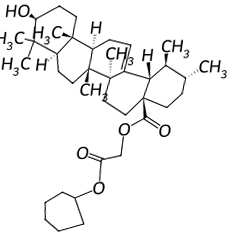 C[C@H]1[C@H](C)CC[C@]2(C(=O)OCC(=O)OC3CCCCC3)CC[C@]3(C)C(=CC[C@@H]4[C@@]5(C)CC[C@H](O)C(C)(C)[C@@H]5CC[C@]43C)[C@H]12